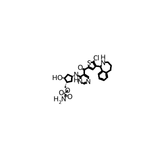 NS(=O)(=O)OC[C@H]1C[C@@H](Nc2ncncc2C(=O)c2cc(C3NCCCc4ccccc43)c(Cl)s2)C[C@@H]1O